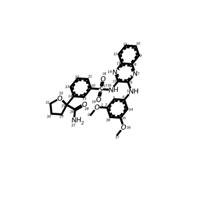 COc1cc(Nc2nc3ccccc3nc2NS(=O)(=O)c2cccc(C3(C(N)=O)CCCO3)c2)cc(OC)c1